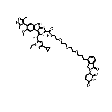 CCn1nc(C2CC2)cc1Nc1nc(C(=O)NCCOCCOCCOCCCc2cccc3c2CN(C2CCC(=O)NC2=O)C3=O)nc2[nH]c3cc(-c4c(C)noc4C)c(OC)cc3c12